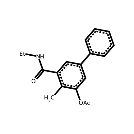 CCNC(=O)c1cc(-c2ccccc2)cc(OC(C)=O)c1C